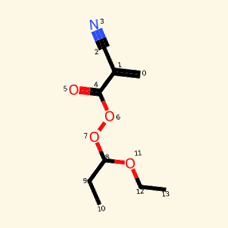 C=C(C#N)C(=O)OOC(CC)OCC